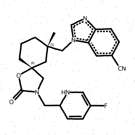 C[C@]1(Cn2cnc3ccc(C#N)cc32)CCC[C@]2(CN(CC3C=CC(F)=CN3)C(=O)O2)C1